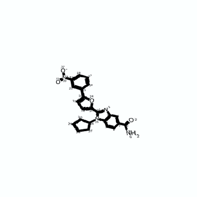 NC(=O)c1ccc2c(c1)nc(-c1ccc(-c3cccc([N+](=O)[O-])c3)o1)n2C1CCCC1